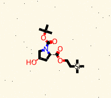 CC(C)(C)OC(=O)N1C[C@@H](O)C[C@H]1C(=O)OCC[Si](C)(C)C